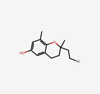 CC(=O)CCC1(C)CCc2cc(O)cc(C)c2O1